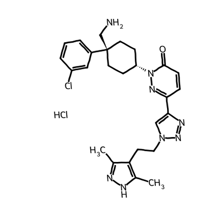 Cc1n[nH]c(C)c1CCn1cc(-c2ccc(=O)n([C@H]3CC[C@@](CN)(c4cccc(Cl)c4)CC3)n2)nn1.Cl